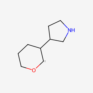 [C]1OCCCC1C1CCNC1